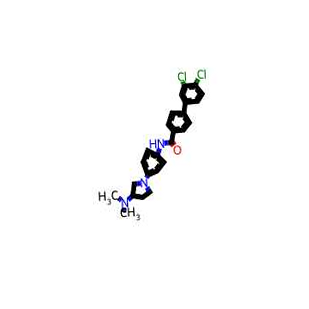 CN(C)C1CCN(c2ccc(NC(=O)c3ccc(-c4ccc(Cl)c(Cl)c4)cc3)cc2)C1